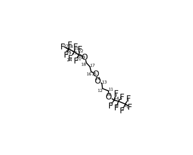 FC(F)(F)C(F)(F)C(F)(F)OCCCOOCCCOC(F)(F)C(F)(F)C(F)(F)F